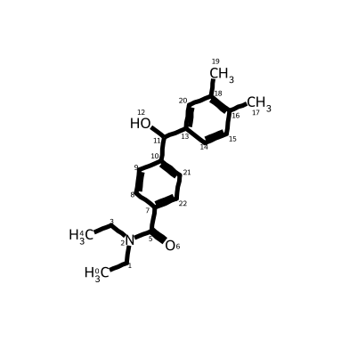 CCN(CC)C(=O)c1ccc(C(O)c2ccc(C)c(C)c2)cc1